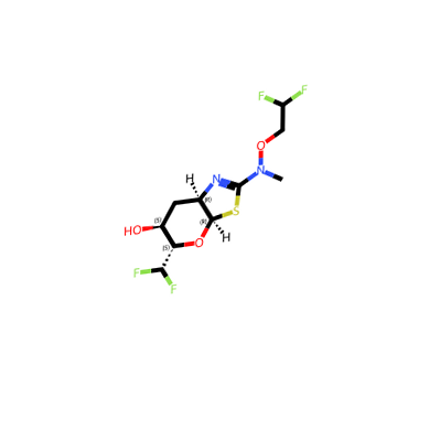 CN(OCC(F)F)C1=N[C@@H]2C[C@H](O)[C@@H](C(F)F)O[C@@H]2S1